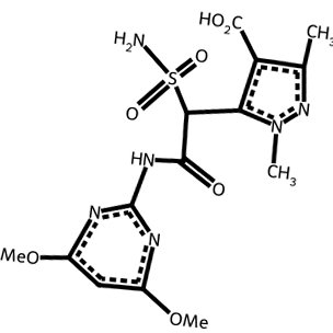 COc1cc(OC)nc(NC(=O)C(c2c(C(=O)O)c(C)nn2C)S(N)(=O)=O)n1